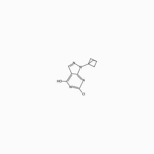 Oc1nc(Cl)nc2c1cnn2C12CC(C1)C2